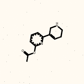 CC(=O)Oc1cccc(C2=CCCNC2)n1